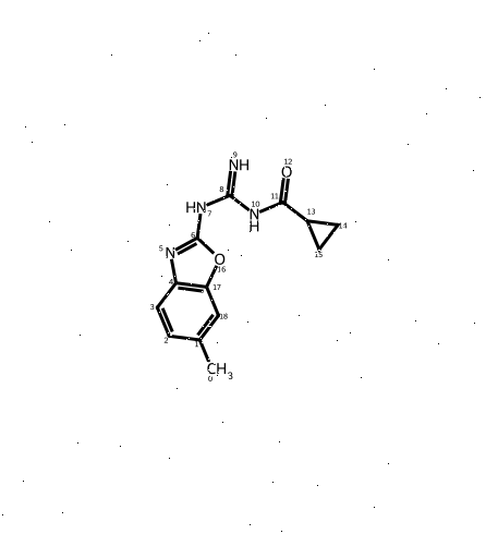 Cc1ccc2nc(NC(=N)NC(=O)C3CC3)oc2c1